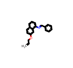 C=CCOc1ccc2cccc(/N=C/c3ccccc3)c2c1